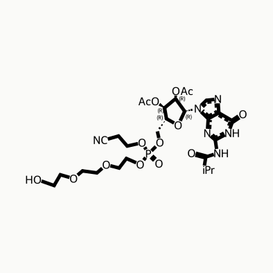 CC(=O)O[C@@H]1[C@H](OC(C)=O)[C@@H](COP(=O)(OCCC#N)OCCOCCOCCO)O[C@H]1n1cnc2c(=O)[nH]c(NC(=O)C(C)C)nc21